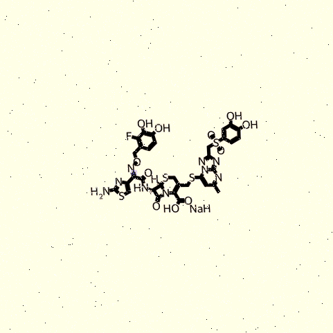 Cc1cc(SCC2=C(C(=O)O)N3C(=O)[C@@H](NC(=O)/C(=N\OCc4ccc(O)c(O)c4F)c4csc(N)n4)[C@H]3SC2)n2nc(CS(=O)(=O)c3ccc(O)c(O)c3)nc2n1.[NaH]